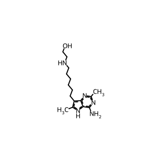 Cc1nc(N)c2[nH]c(C)c(CCCCCCNCCO)c2n1